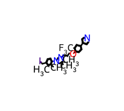 Cc1c(CI)ccc(N2CN(CCCOc3ccc(-c4ccncc4)cc3C(F)(F)F)C(C)(C)C2)c1C